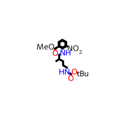 COC(=O)c1cccc([N+](=O)[O-])c1NCC(C)CCCNC(=O)OC(C)(C)C